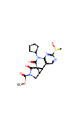 C[S+]([O-])c1ncc2c(n1)N(C1CCCC1)C(=O)[C@]13C(=O)N(C(=O)OC(C)(C)C)CC1C23